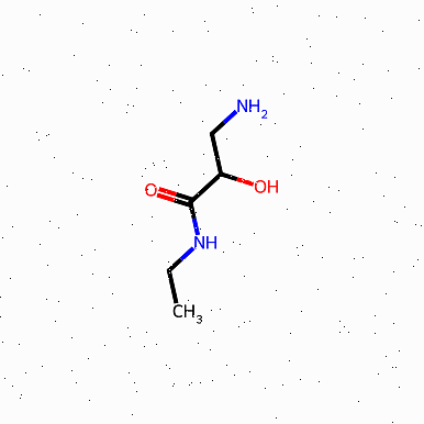 CCNC(=O)C(O)CN